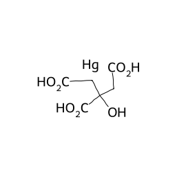 O=C(O)CC(O)(CC(=O)O)C(=O)O.[Hg]